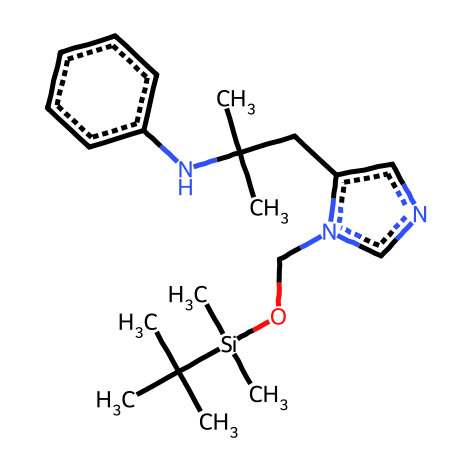 CC(C)(Cc1cncn1CO[Si](C)(C)C(C)(C)C)Nc1ccccc1